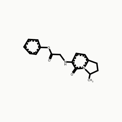 CC1CCc2ccc(NCC(=O)Oc3ccccc3)c(=O)n21